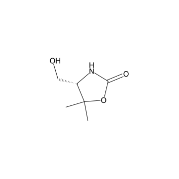 CC1(C)OC(=O)N[C@H]1CO